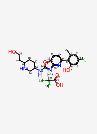 Cc1cc(Cl)cc(O)c1-c1ccc2oc(NC3CCC(CCO)NC3)nc2n1.O=C(O)C(F)(F)F